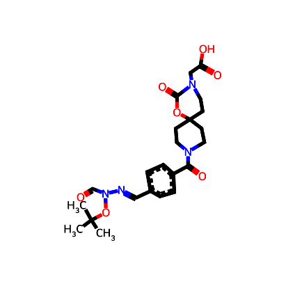 CC(C)(C)ON(C=O)N=Cc1ccc(C(=O)N2CCC3(CCN(CC(=O)O)C(=O)O3)CC2)cc1